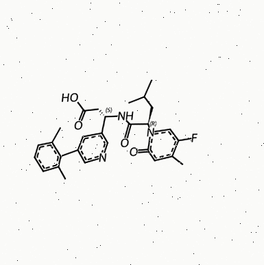 Cc1cc(=O)n([C@H](CC(C)C)C(=O)N[C@@H](CC(=O)O)c2cncc(-c3c(C)cccc3C)c2)cc1F